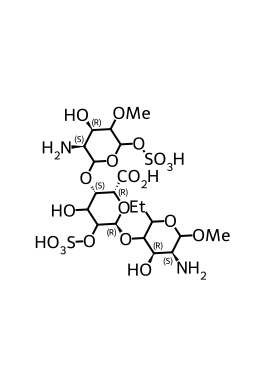 CCC1OC(OC)[C@@H](N)[C@@H](O)C1O[C@@H]1O[C@@H](C(=O)O)[C@@H](OC2OC(OS(=O)(=O)O)C(OC)[C@H](O)[C@@H]2N)C(O)C1OS(=O)(=O)O